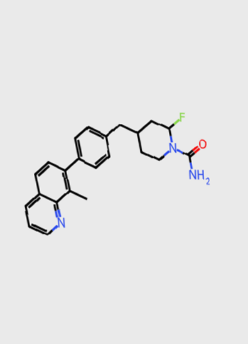 Cc1c(-c2ccc(CC3CCN(C(N)=O)C(F)C3)cc2)ccc2cccnc12